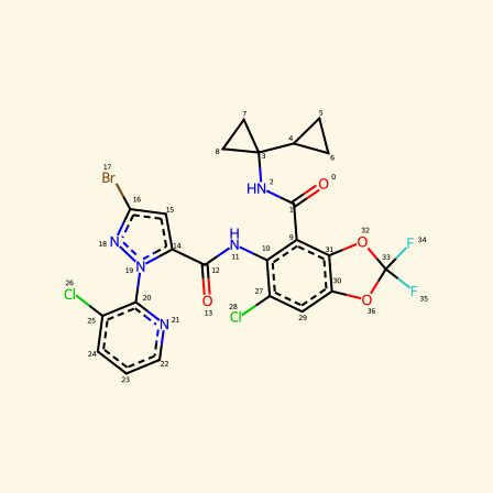 O=C(NC1(C2CC2)CC1)c1c(NC(=O)c2cc(Br)nn2-c2ncccc2Cl)c(Cl)cc2c1OC(F)(F)O2